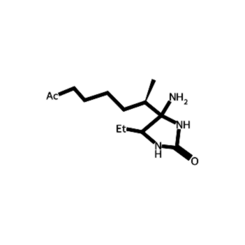 CCC1NC(=O)NC1(N)[C@H](C)CCCCC(C)=O